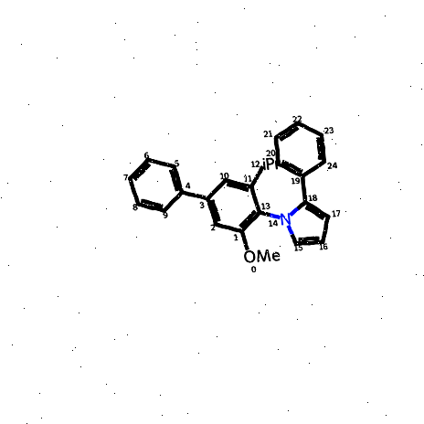 COc1cc(-c2ccccc2)cc(C(C)C)c1-n1cccc1-c1ccccc1